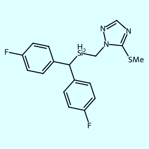 CSc1ncnn1C[SiH2]C(c1ccc(F)cc1)c1ccc(F)cc1